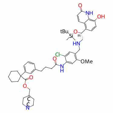 COc1cc(NC(=O)CCCc2cccc(C3(C(=O)OCC45CCN(CC4)CC5)CCCCC3)c2)c(Cl)cc1CNC[C@H](O[Si](C)(C)C(C)(C)C)c1ccc(O)c2[nH]c(=O)ccc12